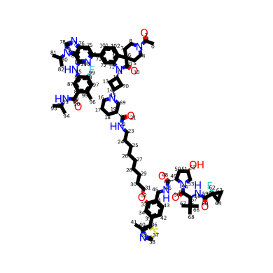 CC(=O)N1CCC2(CC1)C(=O)N([C@H]1C[C@@H](N3CCC[C@@H](C(=O)NCCCCCCCCCOc4cc(-c5scnc5C)ccc4CNC(=O)[C@@H]4C[C@@H](O)CN4C(=O)[C@@H](NC(=O)C4(F)CC4)C(C)(C)C)C3)C1)c1cc(-c3cc4ncn(C(C)C)c4c(Nc4cc(C(=O)NC(C)C)c(C)cc4F)n3)ccc12